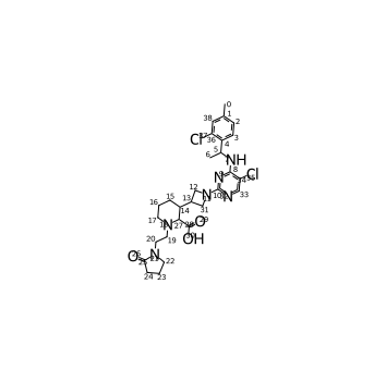 Cc1ccc(C(C)Nc2nc(N3CC(C4CCCN(CCN5CCCC5=O)C4C(=O)O)C3)ncc2Cl)c(Cl)c1